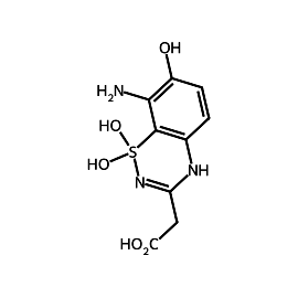 Nc1c(O)ccc2c1S(O)(O)N=C(CC(=O)O)N2